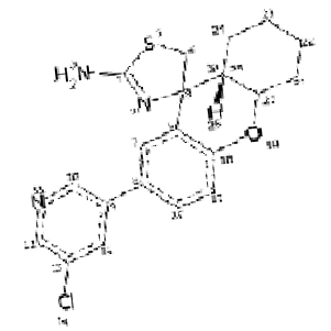 NC1=NC2(CS1)c1cc(-c3cncc(Cl)c3)ccc1OC1CCCC[C@H]12